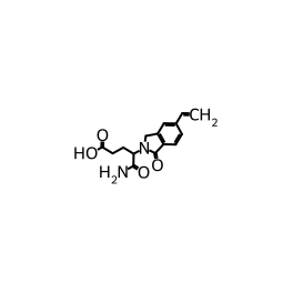 C=Cc1ccc2c(c1)CN(C(CCC(=O)O)C(N)=O)C2=O